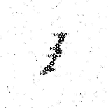 Cc1cc(S(=O)(=O)O)c2ccc3nn(-c4ccc5c(O)c(N=Nc6cc(C)c(N=Nc7ccc(N=Nc8ccc(S(=O)(=O)O)cc8S(=O)(=O)O)cc7)cc6O)c(S(=O)(=O)O)cc5c4)nc3c2c1